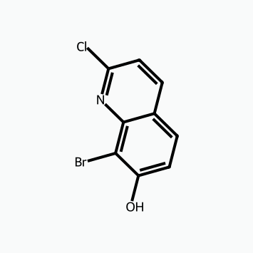 Oc1ccc2ccc(Cl)nc2c1Br